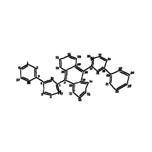 c1ccc(-c2ccnc(-c3c4ccccc4c(-c4cc(-c5ccccc5)ccn4)c4ccccc34)c2)cc1